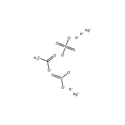 CC(=O)[O-].O=S([O-])([O-])=S.O=S([O-])[O-].[Ag+].[Ag+].[K+].[K+].[K+]